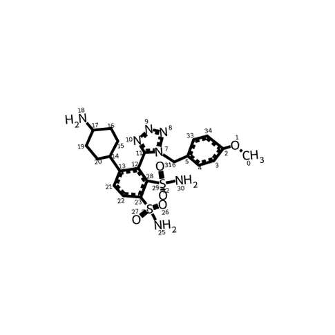 COc1ccc(Cn2nnnc2-c2c(C3CCC(N)CC3)ccc(S(N)(=O)=O)c2S(N)(=O)=O)cc1